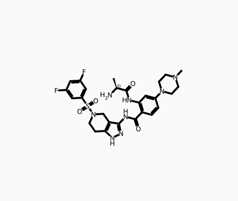 C[C@H](N)C(=O)Nc1cc(N2CCN(C)CC2)ccc1C(=O)Nc1n[nH]c2c1CN(S(=O)(=O)c1cc(F)cc(F)c1)CC2